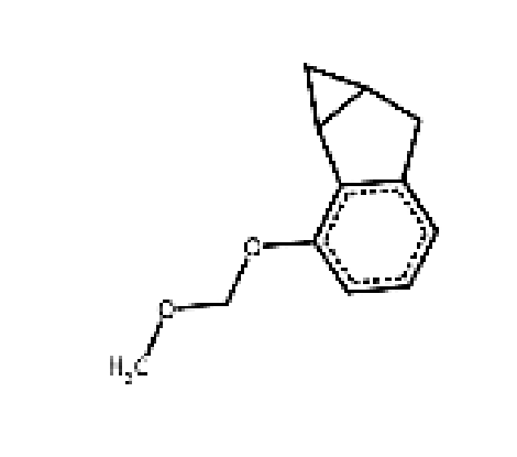 COCOc1cccc2c1C1CC1C2